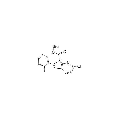 Cc1ccccc1-c1cc2ccc(Cl)nc2n1C(=O)OC(C)(C)C